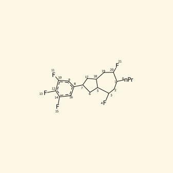 CCCC1CC(F)C2CC(c3cc(F)c(F)c(F)c3)CC2CC1F